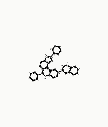 c1ccc(-c2nc3c(ccc4c(-c5ccccc5)nc5ccc(-c6cnc7ccccc7c6)cc5c43)o2)cc1